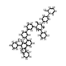 C=C1C(c2ccc(C3C=CC=CC3C)cc2)=NC(c2ccccc2)=NC1c1cccc(-c2cccc(-c3cccc4c3c(CC)c(-c3ccccc3)c3sc5ccccc5c34)c2)c1